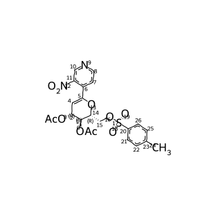 CC(=O)O[C@H]1[C@H](OC(C)=O)C=C(c2ccncc2[N+](=O)[O-])O[C@@H]1COS(=O)(=O)c1ccc(C)cc1